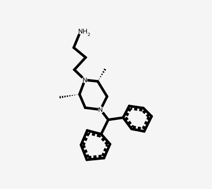 C[C@@H]1CN(C(c2ccccc2)c2ccccc2)C[C@H](C)N1CCCN